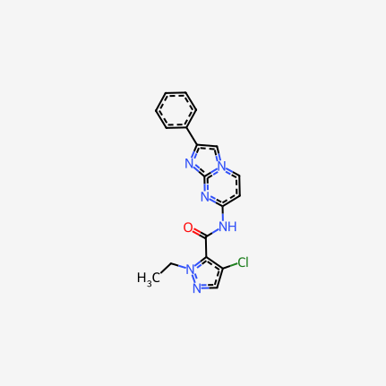 CCn1ncc(Cl)c1C(=O)Nc1ccn2cc(-c3ccccc3)nc2n1